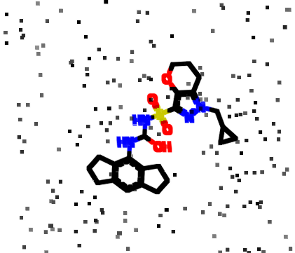 O=S(=O)(NC(O)Nc1c2c(cc3c1CCC3)CCC2)c1nn(CC2CC2)c2c1OCCC2